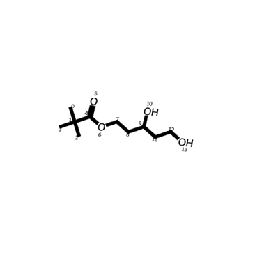 CC(C)(C)C(=O)OCCC(O)CCO